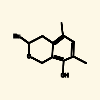 CCC(C)C1Cc2c(C)cc(C)c(O)c2CO1